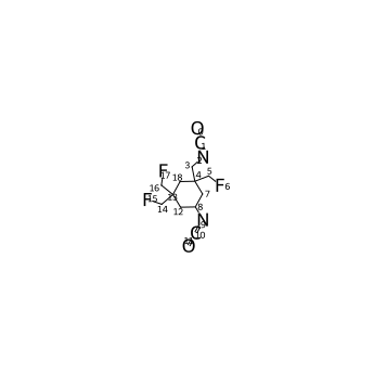 O=C=NCC1(CF)CC(N=C=O)CC(CF)(CF)C1